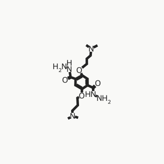 CN(C)CCCOc1cc(C(=O)NN)c(OCCCN(C)C)cc1C(=O)NN